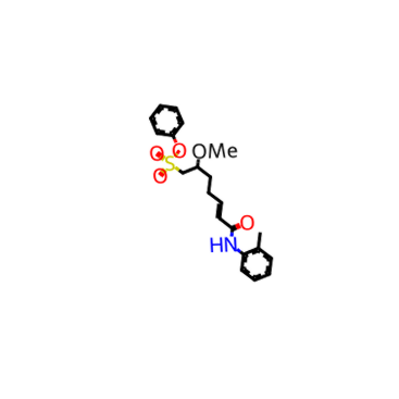 COC(CCC=CC(=O)Nc1ccccc1C)CS(=O)(=O)Oc1ccccc1